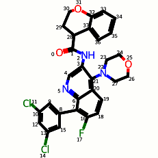 O=C(Nc1cnc2c(-c3cc(Cl)cc(Cl)c3)c(F)ccc2c1N1CCOCC1)C1CCOc2ccccc21